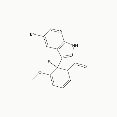 COC1=CC=CC(C=O)C1(F)c1c[nH]c2ncc(Br)cc12